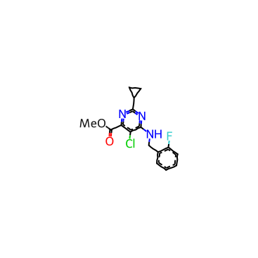 COC(=O)c1nc(C2CC2)nc(NCc2ccccc2F)c1Cl